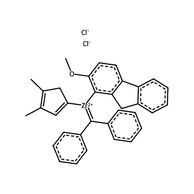 COc1ccc2c([c]1[Zr+2]([C]1=CC(C)=C(C)C1)=[C](c1ccccc1)c1ccccc1)Cc1ccccc1-2.[Cl-].[Cl-]